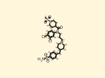 CS(=O)(=O)N1CCC(C(=O)N(CCCN2CCC(Cc3ccc(S(N)(=O)=O)cc3)CC2)c2ccc(Cl)c(Cl)c2)CC1